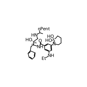 CCCCCC(C)NC[C@@H](O)[C@H](Cc1ccccc1)NC(=O)c1cc(NCC)cc(N2CCCCS2(O)O)c1